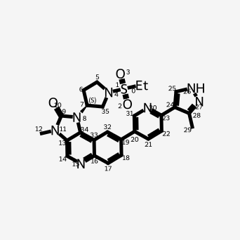 CCS(=O)(=O)N1CC[C@H](n2c(=O)n(C)c3cnc4ccc(-c5ccc(-c6c[nH]nc6C)nc5)cc4c32)C1